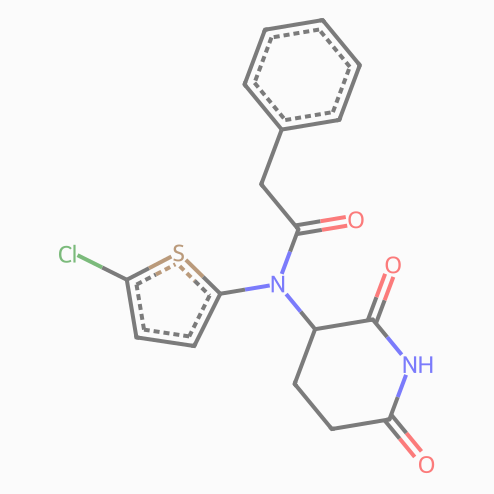 O=C1CCC(N(C(=O)Cc2ccccc2)c2ccc(Cl)s2)C(=O)N1